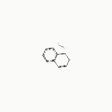 C1=Cc2ccccc2CC1.CC#N